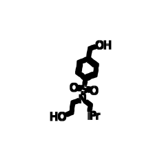 CC(C)CN(CCO)S(=O)(=O)c1ccc(CO)cc1